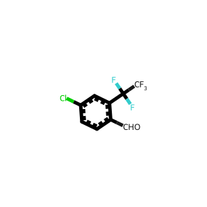 O=Cc1ccc(Cl)cc1C(F)(F)C(F)(F)F